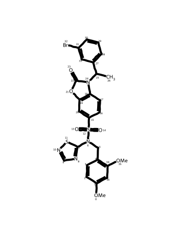 COc1ccc(CN(c2ncns2)S(=O)(=O)c2ccc3c(c2)oc(=O)n3C(C)c2cccc(Br)c2)c(OC)c1